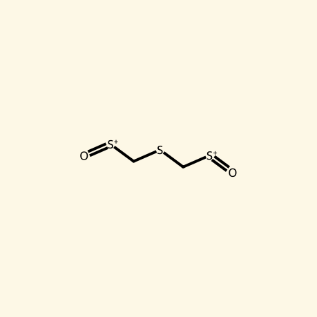 O=[S+]CSC[S+]=O